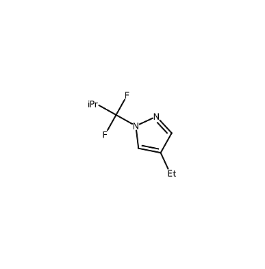 CCc1cnn(C(F)(F)C(C)C)c1